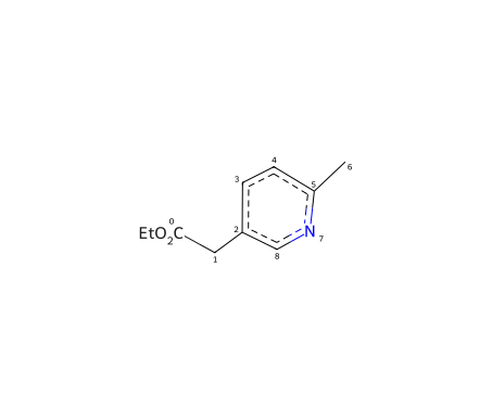 CCOC(=O)Cc1ccc(C)nc1